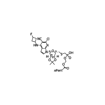 CCCCCC(=O)OCOP(=O)(O)CSC[C@H]1O[C@@H](n2ccc3c(NC4CC(F)C4)c(C#N)c(Cl)nc32)[C@@H]2OC(C)(C)O[C@@H]21